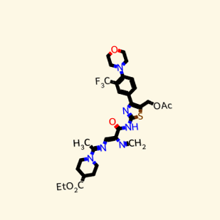 C=N/C(=C\N=C(/C)N1CCC(C(=O)OCC)CC1)C(=O)Nc1nc(-c2ccc(N3CCOCC3)c(C(F)(F)F)c2)c(COC(C)=O)s1